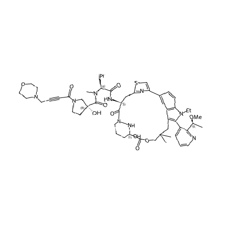 CCn1c(-c2cccnc2[C@H](C)OC)c2c3cc(ccc31)-c1csc(n1)C[C@H](NC(=O)[C@H](C(C)C)N(C)C(=O)[C@@]1(O)CCN(C(=O)C#CCN3CCOCC3)C1)C(=O)N1CCC[C@@](O)(N1)C(=O)OCC(C)(C)C2